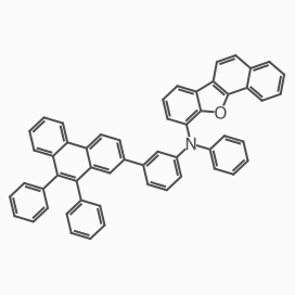 c1ccc(-c2c(-c3ccccc3)c3cc(-c4cccc(N(c5ccccc5)c5cccc6c5oc5c7ccccc7ccc65)c4)ccc3c3ccccc23)cc1